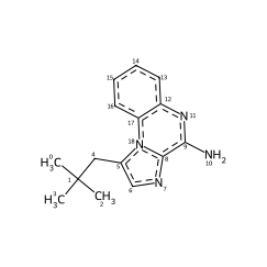 CC(C)(C)Cc1cnc2c(N)nc3ccccc3n12